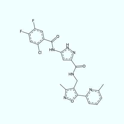 Cc1cccc(-c2onc(C)c2CNC(=O)c2cc(NC(=O)c3cc(F)c(F)cc3Cl)[nH]n2)n1